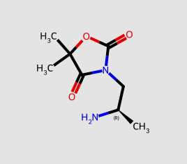 C[C@@H](N)CN1C(=O)OC(C)(C)C1=O